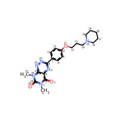 Cn1c(=O)c2nc(-c3ccc(OCCCN4CCCCC4)cc3)nnc2n(C)c1=O